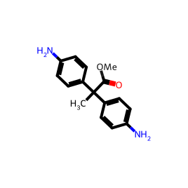 COC(=O)C(C)(c1ccc(N)cc1)c1ccc(N)cc1